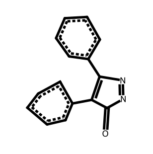 O=C1N=NC(c2ccccc2)=C1c1ccccc1